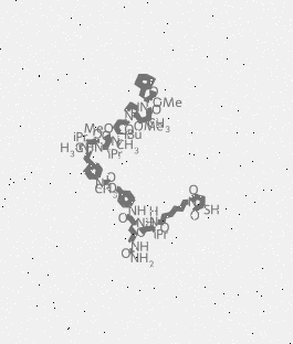 CC[C@H](C)[C@@H]([C@@H](CC(=O)N1CCC[C@H]1[C@H](OC)[C@@H](C)C(=O)N[C@@H](Cc1ccccc1)C(=O)OC)OC)N(C)C(=O)[C@@H](NC(=O)[C@H](C(C)C)N(C)CCc1ccc(N(C)C(=O)OCc2ccc(NC(=O)[C@H](CCCNC(N)=O)NC(=O)[C@@H](NC(=O)CCCCCN3C(=O)CC(S)C3=O)C(C)C)cc2)cc1)C(C)C